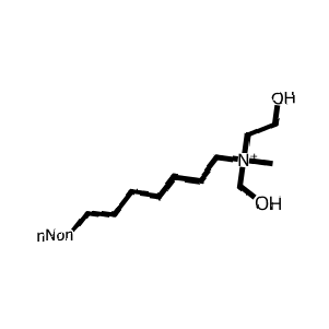 CCCCCCCCCCCCCCCC[N+](C)(CO)CCO